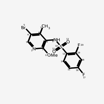 COc1ncc(Br)c(C)c1NS(=O)(=O)c1ccc(F)cc1F